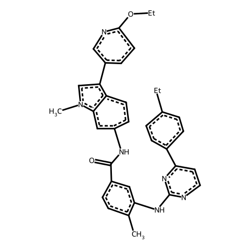 CCOc1ccc(-c2cn(C)c3cc(NC(=O)c4ccc(C)c(Nc5nccc(-c6ccc(CC)cc6)n5)c4)ccc23)cn1